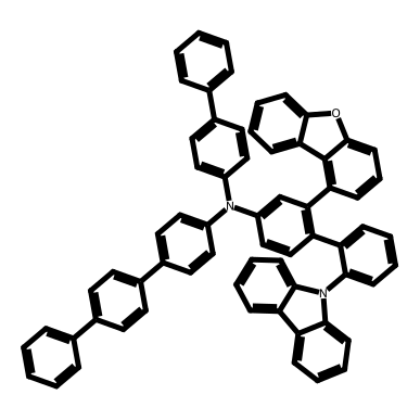 c1ccc(-c2ccc(-c3ccc(N(c4ccc(-c5ccccc5)cc4)c4ccc(-c5ccccc5-n5c6ccccc6c6ccccc65)c(-c5cccc6oc7ccccc7c56)c4)cc3)cc2)cc1